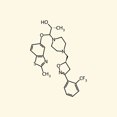 Cc1nc2cc(OC([C@@H](C)O)N3CCN(C[C@H]4CC(c5ccccc5C(F)(F)F)=NO4)CC3)ccc2s1